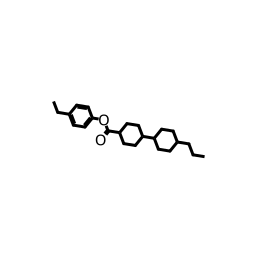 CCCC1CCC(C2CCC(C(=O)Oc3ccc(CC)cc3)CC2)CC1